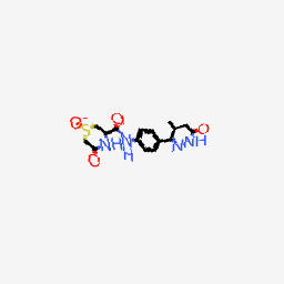 CC1CC(=O)NN=C1c1ccc(NC(=O)C2C[S+]([O-])CC(=O)N2)cc1